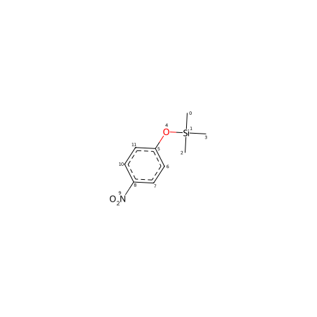 C[Si](C)(C)Oc1ccc([N+](=O)[O-])cc1